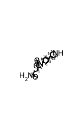 NC(=O)CCC1CN(c2ccc(C3=CCNCC3)cc2)C(=O)O1